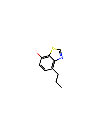 CCCc1ccc([O])c2scnc12